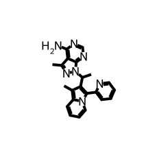 Cc1nn(C(C)c2c(C)c3ccccn3c2-c2ccccn2)c2ncnc(N)c12